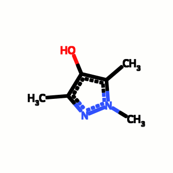 Cc1nn(C)c(C)c1O